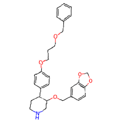 c1ccc(COCCCOc2ccc(C3CCNCC3OCc3ccc4c(c3)OCO4)cc2)cc1